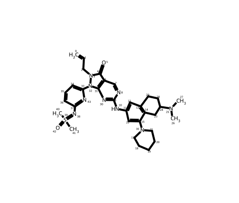 C=CCn1c(=O)c2cnc(Nc3cc4c(c(N5CCCCC5)c3)CC(N(C)C)CC4)nc2n1-c1cccc(N=S(C)(C)=O)n1